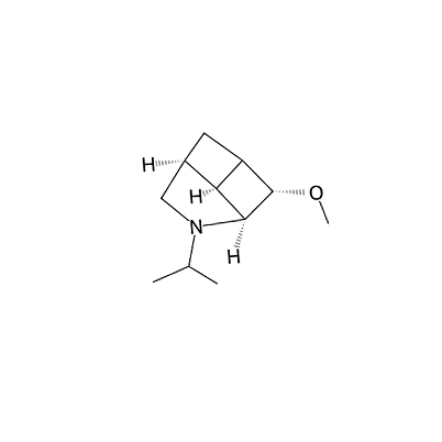 CO[C@H]1C2C[C@@H]3CN(C(C)C)[C@H]1[C@H]23